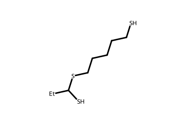 CCC(S)SCCCCCS